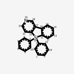 c1ccc([Si]2(c3ccccc3)c3ccccc3-c3cnccc32)cc1